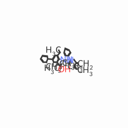 C=C(/C=C\C)CN(c1ccccc1NC1=C(CC)C=C(C2C=CC=CC2C)CC1C(C)(C)O)C(C)C